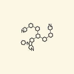 c1ccc(-n2c3ccncc3c3cc(-c4cc(-c5cccc(-c6cccc(-c7ccncc7)c6)c5)cc(-c5cccc(-c6cccc(-c7ccncc7)c6)c5)c4)ccc32)cc1